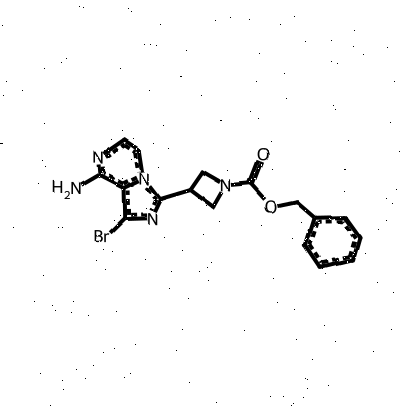 Nc1nccn2c(C3CN(C(=O)OCc4ccccc4)C3)nc(Br)c12